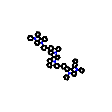 c1ccc(N2c3ccccc3B3c4ccccc4N(c4cccc(-c5cccc6c7c(ccc56)B5c6ccc8ccccc8c6N(c6cccc(-c8ccc9cc%10c(cc9c8)N(c8ccccc8)c8cccc9c8B%10c8cc%10ccccc%10cc8N9c8ccccc8)c6)c6cccc(c65)N7c5ccccc5)c4)c4cccc2c43)cc1